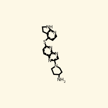 NC1CCN(c2cnc3nc(Sc4ccnc5c4CCN5)ccc3n2)CC1